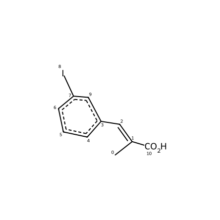 CC(=Cc1cccc(I)c1)C(=O)O